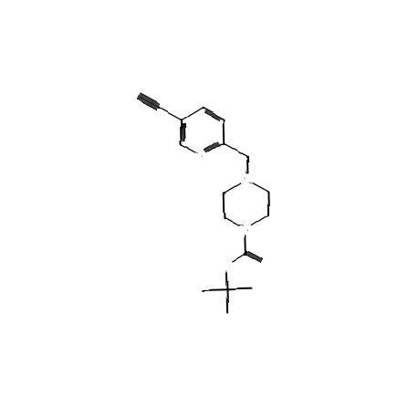 C#Cc1ccc(CN2CCN(C(=O)OC(C)(C)C)CC2)nc1